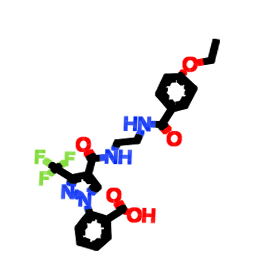 CCOc1ccc(C(=O)NCCNC(=O)c2cn(-c3ccccc3C(=O)O)nc2C(F)(F)F)cc1